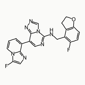 Fc1ccc2c(c1CNc1ncc(-c3cccn4c(F)cnc34)c3nncn13)CCO2